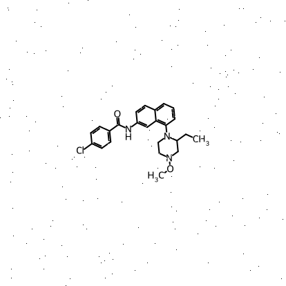 CCC1CN(OC)CCN1c1cccc2ccc(NC(=O)c3ccc(Cl)cc3)cc12